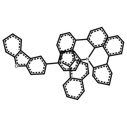 c1ccc(-c2ccccc2N(c2ccc(-c3ccc4oc5ccccc5c4c3)cc2)c2ccccc2-c2cccc3oc4c5ccccc5ccc4c23)cc1